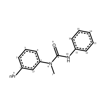 CCCc1cccc(N(C)C(=O)Nc2ccccc2)c1